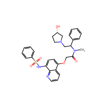 CN(C(=O)COc1ccc(NS(=O)(=O)c2ccccc2)c2ncccc12)C(CN1CC[C@H](O)C1)c1ccccc1